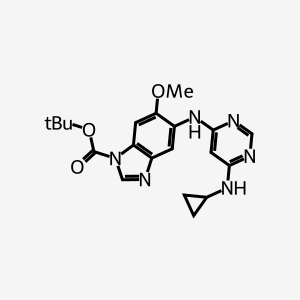 COc1cc2c(cc1Nc1cc(NC3CC3)ncn1)ncn2C(=O)OC(C)(C)C